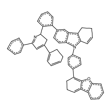 C1=CCCC(C2=CC(c3ccccc3)=NC(c3ccccc3-c3ccc4c(c3)c3c(n4-c4ccc(C5=c6oc7ccccc7c6=CCC5)cc4)C=CCC3)C2)=C1